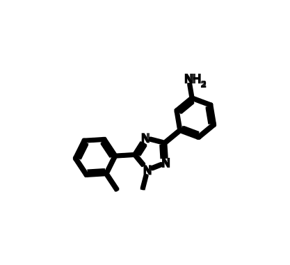 Cc1ccccc1-c1nc(-c2cccc(N)c2)nn1C